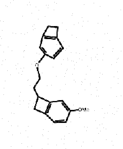 COc1ccc2c(c1)C(CCOc1ccc3c(c1)CC3)C2